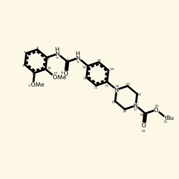 COc1cccc(NC(=O)Nc2ccc(N3CCN(C(=O)OC(C)(C)C)CC3)cc2)c1OC